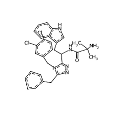 CC(C)(N)C(=O)NC(Cc1c[nH]c2ccccc12)c1nnc(Cc2ccccc2)n1Cc1ccc(Cl)c(Cl)c1